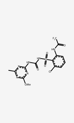 COc1nc(C)nc(NC(=O)NS(=O)(=O)c2c(Cl)cccc2NC(=O)C(F)(F)F)n1